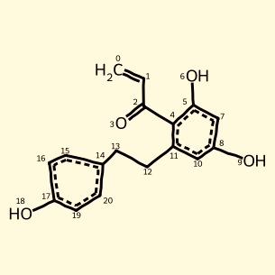 C=CC(=O)c1c(O)cc(O)cc1CCc1ccc(O)cc1